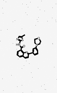 Cc1cnc(NC(=O)c2cccc3ccc(-c4cccc(N5CCOCC5)c4)nc23)s1